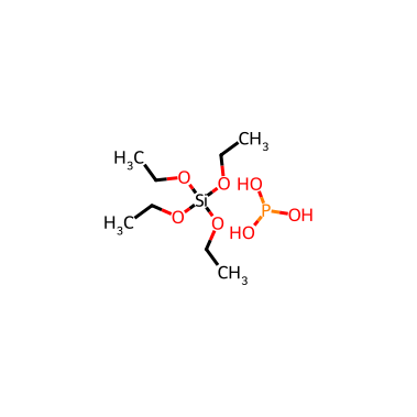 CCO[Si](OCC)(OCC)OCC.OP(O)O